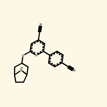 N#Cc1ccc(-c2cc(C#N)cc(OC3CC4CCC(C3)N4)n2)cc1